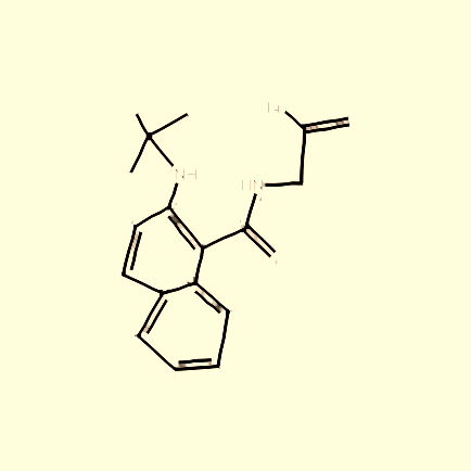 C=C(Br)CNC(=O)c1c(NC(C)(C)C)ccc2ccccc12